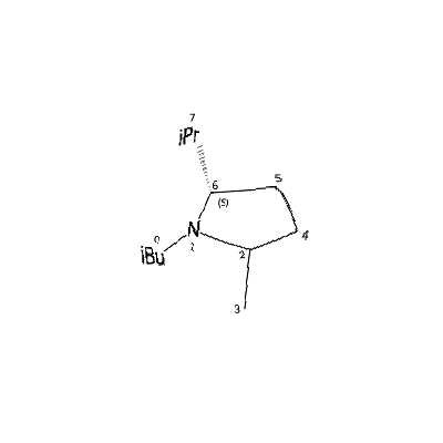 CCC(C)N1C(C)CC[C@H]1C(C)C